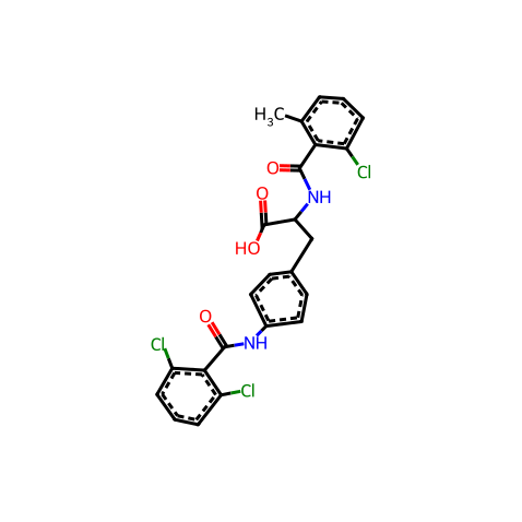 Cc1cccc(Cl)c1C(=O)NC(Cc1ccc(NC(=O)c2c(Cl)cccc2Cl)cc1)C(=O)O